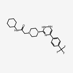 O=C(CN1CCN(C2=NC(c3ccc(C(F)(F)F)cc3)=CNN2)CC1)NC1CCCCC1